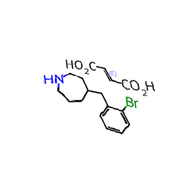 Brc1ccccc1CC1CCCNCC1.O=C(O)/C=C/C(=O)O